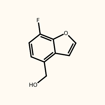 OCc1ccc(F)c2occc12